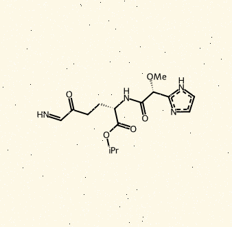 CO[C@@H](C(=O)N[C@@H](CCC(=O)C=N)C(=O)OC(C)C)c1ncc[nH]1